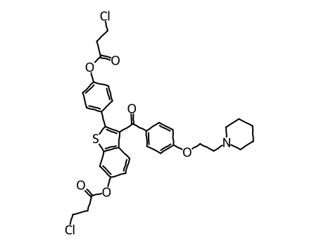 O=C(CCCl)Oc1ccc(-c2sc3cc(OC(=O)CCCl)ccc3c2C(=O)c2ccc(OCCN3CCCCC3)cc2)cc1